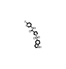 O=C(Nc1ccc(F)nc1)c1ccn(S(=O)(=O)c2ccc3[nH]ccc3c2)c1